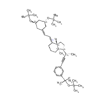 C[C@H](C#Cc1cccc(C(C)(C)O[Si](C)(C)C)c1)[C@H]1CC[C@H]2/C(=C/C=C3C[C@@H](O[Si](C)(C)C(C)(C)C)C[C@H](O[Si](C)(C)C(C)(C)C)C3)CCC[C@]12C